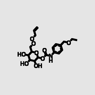 C=CCOOCC1OC(OC(=O)Nc2ccc(COCC)cc2)C(O)C(O)C1O